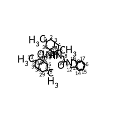 CC1CC2CC(C)(NCC(=O)N3Cc4ccccc4C3)CC(NC(=O)C34CC(C)CC(CC(C)C3)C4)(C1)C2